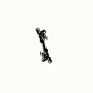 OC(COCC(COCC1CO1)(COCC1CO1)COCC1CO1)CN1CCN(CCSSCCN2CCN(CC(O)COCC(COCC3CO3)(COCC3CO3)COC[C@@H]3CO3)CC2)CC1